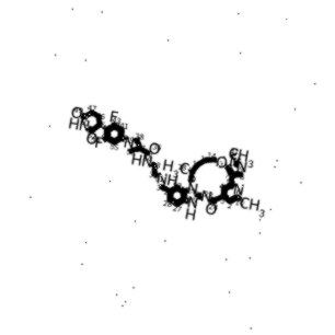 Cc1cc2cc(n1)-c1cnn(C)c1OCCC[C@@H](C)CN1/C(=N/C2=O)Nc2ccc(CNCCNC(=O)C3CN(c4cc(F)c([C@H]5CCC(=O)NC5=O)c(F)c4)C3)cc21